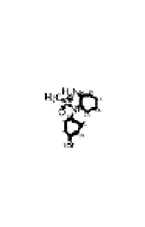 CS(=O)(=O)N(c1ccc(Br)cc1)C1CCCCC1N